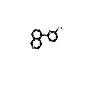 Cc1cccc(-c2cccc3cnccc23)n1